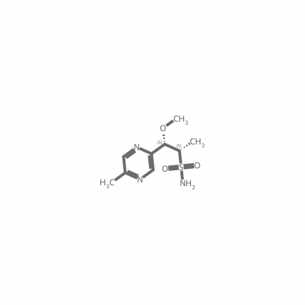 CO[C@@H](c1cnc(C)cn1)[C@H](C)S(N)(=O)=O